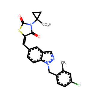 O=C1SC(=Cc2ccc3c(cnn3Cc3ccc(Cl)cc3C(F)(F)F)c2)C(=O)N1C1(C(=O)O)CC1